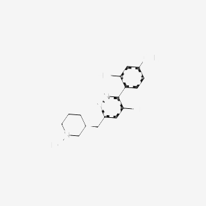 Cc1ccc(-c2nnc(C[C@@H]3CCCN(C)C3)cc2C)c(O)c1